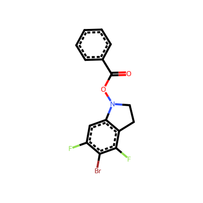 O=C(ON1CCc2c1cc(F)c(Br)c2F)c1ccccc1